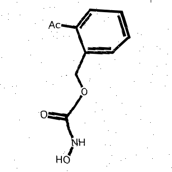 CC(=O)c1ccccc1COC(=O)NO